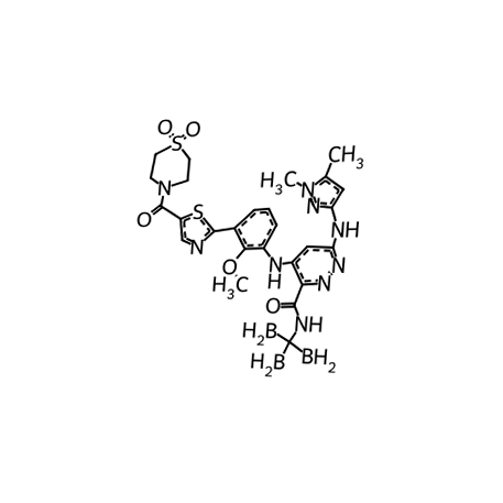 BC(B)(B)NC(=O)c1nnc(Nc2cc(C)n(C)n2)cc1Nc1cccc(-c2ncc(C(=O)N3CCS(=O)(=O)CC3)s2)c1OC